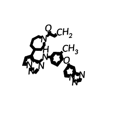 C=CC(=O)N1CCCC(c2ccn3ncnc(Nc4ccc(Oc5ccn6ncnc6c5)c(C)c4)c23)CC1